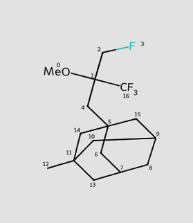 COC(CF)(CC12CC3CC(CC(C)(C3)C1)C2)C(F)(F)F